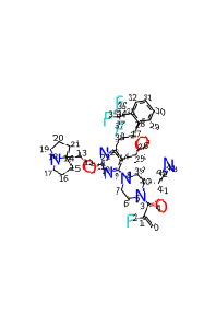 C=C(F)C(=O)N1CCN(c2nc(OCC34CCCN3CCC4)nc3c2CO[C@H](c2ccccc2C(F)(F)F)C3)C[C@@H]1CC#N